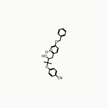 CC(C)(Oc1ccc(C#N)cc1)C(O)Cc1ccc(OCc2ccccc2)c[n+]1[O-]